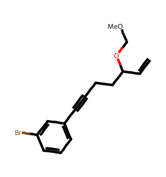 C=CC(CCC#Cc1cccc(Br)c1)OCOC